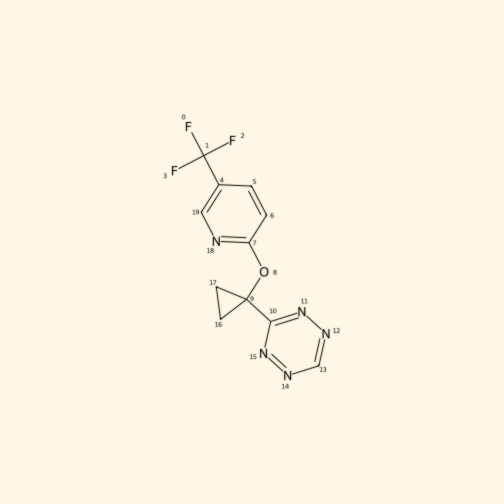 FC(F)(F)c1ccc(OC2(c3nncnn3)CC2)nc1